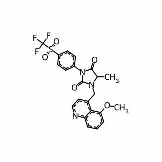 COc1cccc2nccc(CN3C(=O)N(c4ccc(S(=O)(=O)C(F)(F)F)cc4)C(=O)C3C)c12